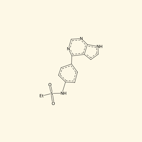 CCS(=O)(=O)Nc1ccc(-c2ncnc3[nH]ccc23)cc1